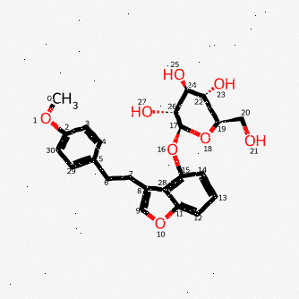 COc1ccc(CCc2coc3cccc(O[C@@H]4O[C@H](CO)[C@@H](O)[C@H](O)[C@H]4O)c23)cc1